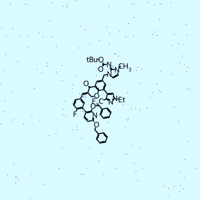 CCn1cc(-c2cc(Cn3ccn(C)/c3=N/C(=O)OC(C)(C)C)cc3c2OC/C(=C\c2ccc(F)c(-c4ccc(OCc5ccccc5)nc4OCc4ccccc4)c2)C3=O)c(C(F)(F)F)n1